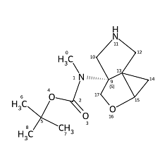 CN(C(=O)OC(C)(C)C)[C@]12CNCC13CC3OC2